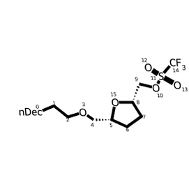 CCCCCCCCCCCCOC[C@H]1CC[C@@H](COS(=O)(=O)C(F)(F)F)O1